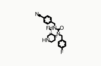 N#Cc1ccc(CNC(=O)N(Cc2ccc(F)cc2)[C@@H]2CCNC[C@@H]2CF)cc1